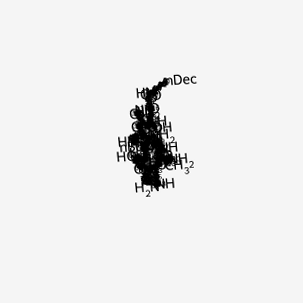 CCCCCCCCCCCCCCCC(=O)NS(=O)(=O)CCCC(=O)NCC(=O)N[C@@H](CO)C(=O)N[C@H](CCC(N)=O)C(=O)N[C@@H](Cc1c[nH]cn1)C(=O)N[C@@H](CN)C(=O)N[C@@H](CCCC)C(=O)N[C@@H](C)C(=O)N1C[C@H](O)C[C@H]1C(=O)N[C@H](Cc1ccccc1)C(=O)N[C@@H](CCCNC(=N)N)C(=O)N[C@@H](Cc1c[nH]c2ccccc12)C(=O)N[C@@H](C)C(N)=O